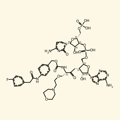 Nc1ccn([C@@H]2O[C@H](COP(=O)(O)O)[C@@H](OP(=O)(O)OC[C@H]3O[C@@H](n4cnc5c(N)ncnc54)[C@H](O)[C@@H]3CC(=O)[C@H](COCCN3CCOCC3)NC(=O)OCc3ccc(NC(=O)Cc4ccc(F)cc4)cc3)[C@H]2O)c(=O)n1